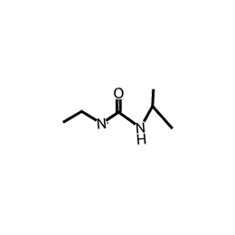 CC[N]C(=O)NC(C)C